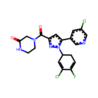 O=C1CN(C(=O)c2cc(-c3cncc(Cl)c3)n(C3C=C(Cl)C(F)=CC3)n2)CCN1